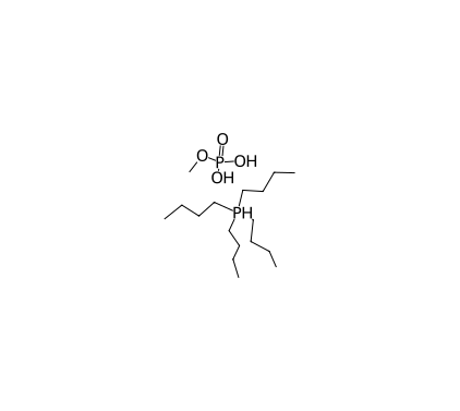 CCCC[PH](CCCC)(CCCC)CCCC.COP(=O)(O)O